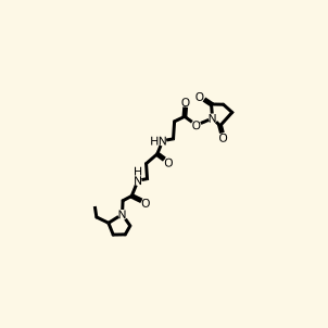 CCC1CCCN1CC(=O)NCCC(=O)NCCC(=O)ON1C(=O)CCC1=O